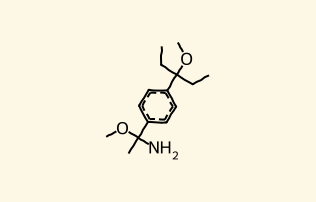 CCC(CC)(OC)c1ccc(C(C)(N)OC)cc1